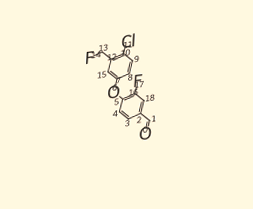 O=Cc1ccc(Oc2ccc(Cl)c(CF)c2)c(F)c1